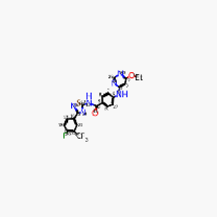 CCOc1cc(Nc2ccc(C(=O)Nc3nc(-c4ccc(F)c(C(F)(F)F)c4)ns3)cc2)ncn1